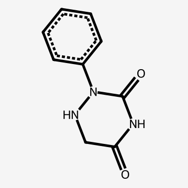 O=C1CNN(c2ccccc2)C(=O)N1